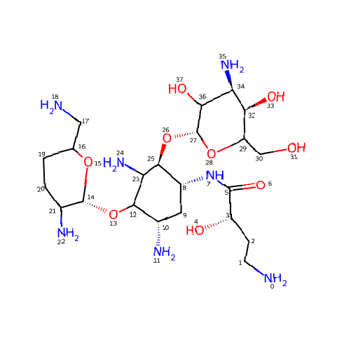 NCC[C@H](O)C(=O)N[C@@H]1C[C@H](N)C(O[C@H]2OC(CN)CCC2N)C(N)[C@H]1O[C@H]1OC(CO)[C@H](O)[C@H](N)C1O